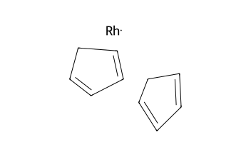 C1=CCC=C1.C1=CCC=C1.[Rh]